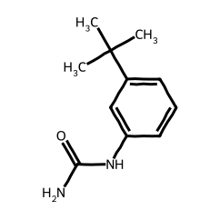 CC(C)(C)c1cccc(NC(N)=O)c1